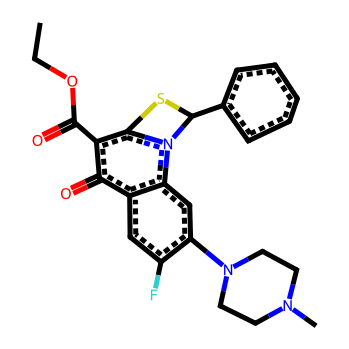 CCOC(=O)c1c2n(c3cc(N4CCN(C)CC4)c(F)cc3c1=O)C(c1ccccc1)S2